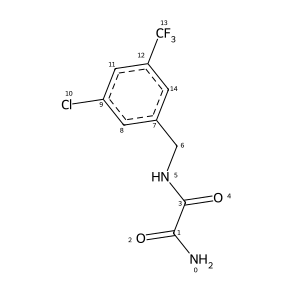 NC(=O)C(=O)NCc1cc(Cl)cc(C(F)(F)F)c1